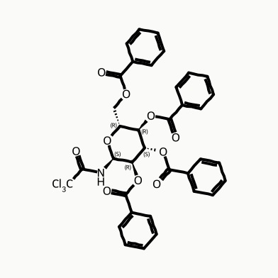 O=C(OC[C@H]1O[C@H](NC(=O)C(Cl)(Cl)Cl)[C@H](OC(=O)c2ccccc2)[C@@H](OC(=O)c2ccccc2)[C@@H]1OC(=O)c1ccccc1)c1ccccc1